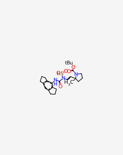 CC(C)(C)OC(=O)N1CCC[C@]1(C)/C=C/N(C(=O)Nc1c2c(cc3c1CCC3)CCC2)[SH](=O)=O